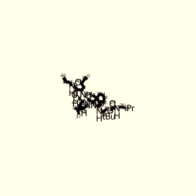 C#CCCC(NC(=O)[C@@H]1[C@@H]2[C@H](CN1C(=O)[C@@H](NC(=O)N[C@H](COC(=O)NCC(C)C)C(C)(C)C)C1(C)CCCCC1)C2(C)C)C(=O)C(=O)NCC=C